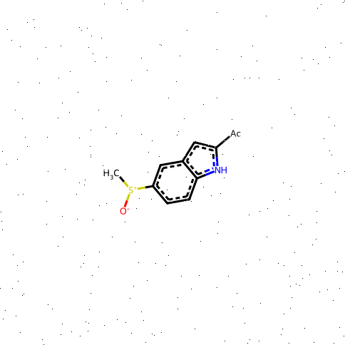 CC(=O)c1cc2cc([S+](C)[O-])ccc2[nH]1